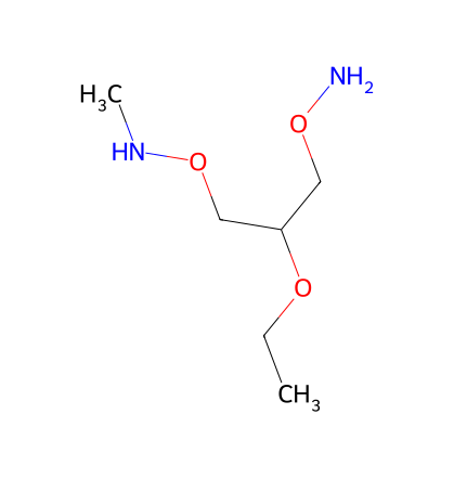 CCOC(CON)CONC